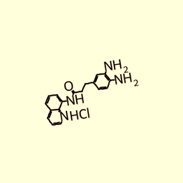 Cl.Nc1ccc(CCC(=O)Nc2cccc3cccnc23)cc1N